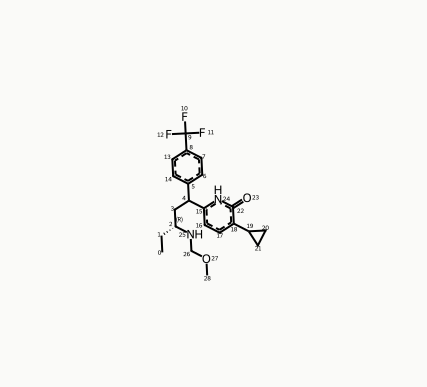 CC[C@H](CC(c1ccc(C(F)(F)F)cc1)c1ccc(C2CC2)c(=O)[nH]1)NCOC